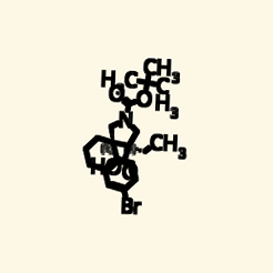 CC[C@@]1(C(=O)O)CN(C(=O)OC(C)(C)C)C[C@@]12CCCc1cc(Br)ccc12